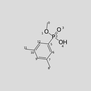 COP(=O)(O)c1cc(C)cc(C)c1